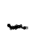 O=C(NCCc1ccc(Cl)cc1)c1ccc(S(=O)(=O)NC(=O)c2ccc(C(=O)OCc3ccccc3)nc2)cc1